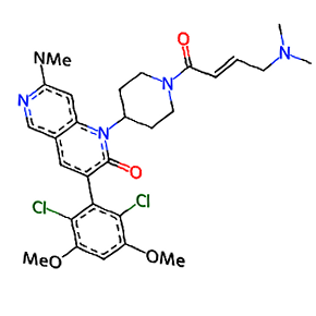 CNc1cc2c(cn1)cc(-c1c(Cl)c(OC)cc(OC)c1Cl)c(=O)n2C1CCN(C(=O)C=CCN(C)C)CC1